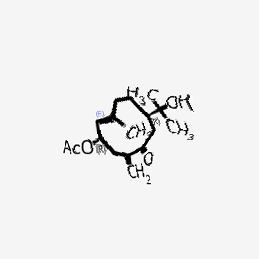 C=C1C[C@@H](OC(C)=O)/C=C(\C)CC[C@@H](C(C)(C)O)CC1=O